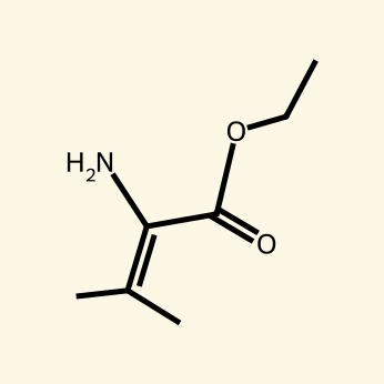 CCOC(=O)C(N)=C(C)C